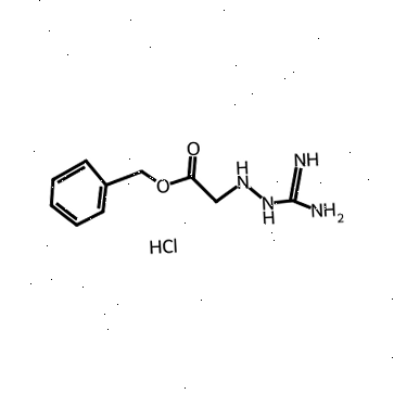 Cl.N=C(N)NNCC(=O)OCc1ccccc1